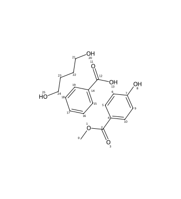 COC(=O)c1ccc(O)cc1.O=C(O)c1ccccc1.OCCCCO